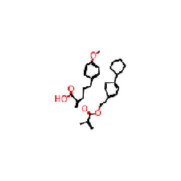 C=C(C)C(=O)OCCc1ccc(C2CCCCC2)cc1.C=C(CCCc1ccc(OC)cc1)C(=O)O